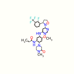 C=CC(=O)Nc1cc(Nc2cc(N3OCCC3c3cccc(C(F)(F)F)c3F)ncn2)c(OC)cc1N1CCN(C)C(=O)C1